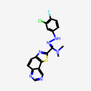 CN(C)C(=NNc1ccc(F)c(Cl)c1)c1nc2ccc3ncncc3c2s1